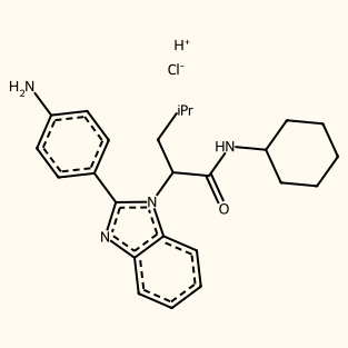 CC(C)CC(C(=O)NC1CCCCC1)n1c(-c2ccc(N)cc2)nc2ccccc21.[Cl-].[H+]